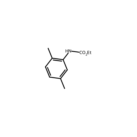 CCOC(=O)Nc1cc(C)ccc1C